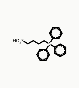 O=S(=O)(O)CCCCS(c1ccccc1)(c1ccccc1)c1ccccc1